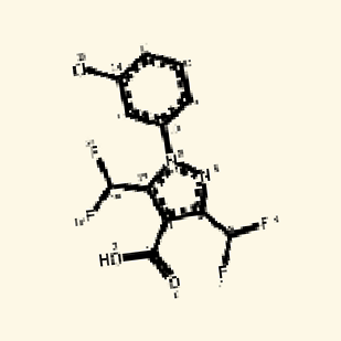 O=C(O)c1c(C(F)F)nn(-c2cccc(Cl)c2)c1C(F)F